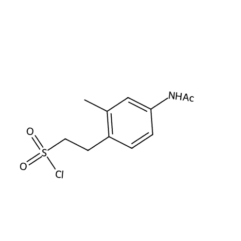 CC(=O)Nc1ccc(CCS(=O)(=O)Cl)c(C)c1